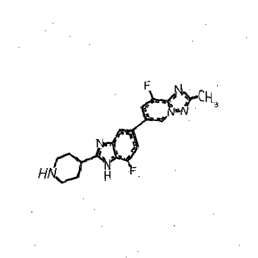 Cc1nc2c(F)cc(-c3cc(F)c4[nH]c(C5CCNCC5)nc4c3)cn2n1